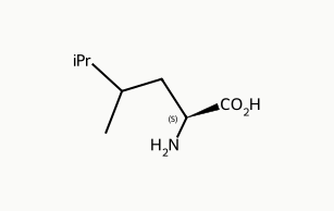 CC(C)C(C)C[C@H](N)C(=O)O